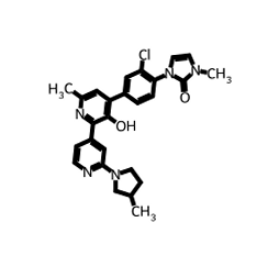 Cc1cc(-c2ccc(-n3ccn(C)c3=O)c(Cl)c2)c(O)c(-c2ccnc(N3CCC(C)C3)c2)n1